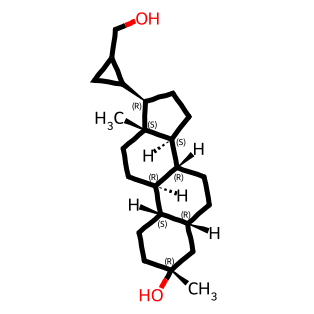 C[C@@]1(O)CC[C@H]2[C@H](CC[C@@H]3[C@@H]2CC[C@]2(C)[C@@H](C4CC4CO)CC[C@@H]32)C1